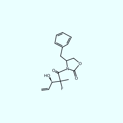 C=C[C@@H](O)C(C)(F)C(=O)N1C(=O)OCC1Cc1ccccc1